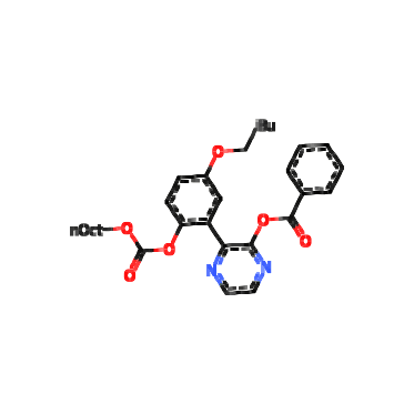 CCCCCCCCOC(=O)Oc1ccc(OCC(C)CC)cc1-c1nccnc1OC(=O)c1ccccc1